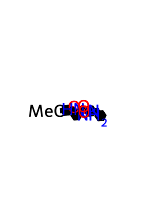 COc1ccc(C(=O)c2cccc(N)c2NC(=O)OC2CCN(Cc3ccccc3)CC2)cc1